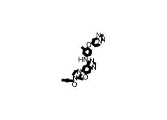 CC#CC(=O)N1CCN2CC1COc1cc3ncnc(Nc4ccc(Oc5ccn6ncnc6c5)c(C)c4)c3cc12